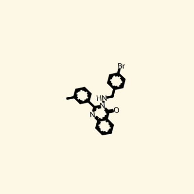 Cc1cccc(-c2nc3ccccc3c(=O)n2NCc2ccc(Br)cc2)c1